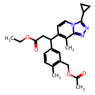 CCOC(=O)CC(c1ccc(C)c(COC(C)=O)c1)c1ccn2c(C3CC3)nnc2c1C